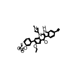 C#Cc1ccc2c(c1)[nH]c1c2c(=O)c2cc(OCC)c(-c3cccc(OS(=O)(=O)F)c3)cc2n1C1CN(C)C1